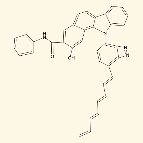 C=CC=CC=CC=Cc1ccc(-n2c3ccccc3c3ccc4cc(C(=O)Nc5ccccc5)c(O)cc4c32)c2c1N=N2